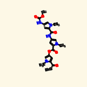 COC(=O)c1cc(OC(=O)c2cc(NC(=O)c3cc(NC(=O)OC(C)(C)C)cn3C)cn2C)cn1C